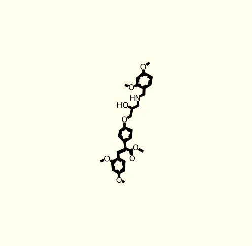 COC(=O)C(=Cc1ccc(OC)cc1OC)c1ccc(OCC(O)CNCc2ccc(OC)cc2OC)cc1